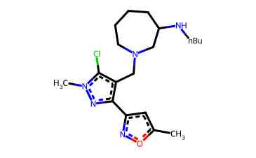 CCCCNC1CCCCN(Cc2c(-c3cc(C)on3)nn(C)c2Cl)C1